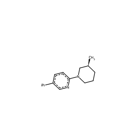 CC(C)c1ccc(N2CCC[C@H](C)C2)nc1